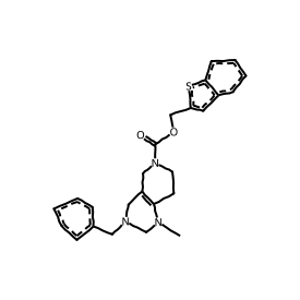 CN1CN(Cc2ccccc2)CC2=C1CCN(C(=O)OCc1cc3ccccc3s1)C2